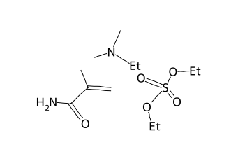 C=C(C)C(N)=O.CCN(C)C.CCOS(=O)(=O)OCC